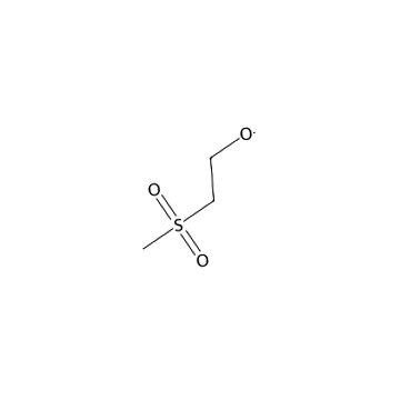 CS(=O)(=O)CC[O]